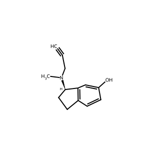 C#CCN(C)[C@@H]1CCc2ccc(O)cc21